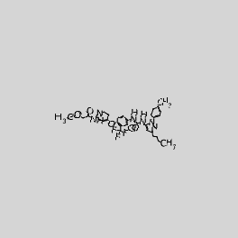 CCCCc1cc(NC(=O)Nc2ccc(Oc3ccnc(NC(=O)COC)c3)c(C(F)(F)F)c2Cl)n(-c2ccc(C)cc2)n1